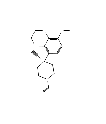 COc1ccc([C@]2(C#N)CC[C@@H](C=O)CC2)c2c1OCCO2